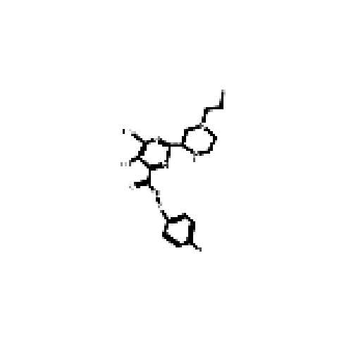 CCCN1CCNC(c2nc(O)c(O)c(C(=O)NCc3ccc(F)cc3)n2)C1